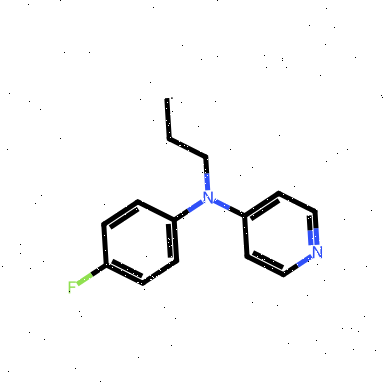 [CH2]CCN(c1ccncc1)c1ccc(F)cc1